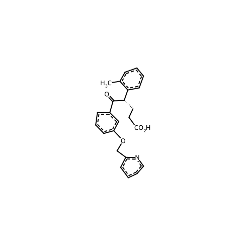 Cc1ccccc1[C@H](CCC(=O)O)C(=O)c1cccc(OCc2ccccn2)c1